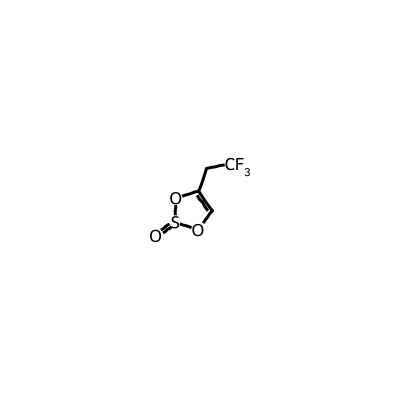 O=S1OC=C(CC(F)(F)F)O1